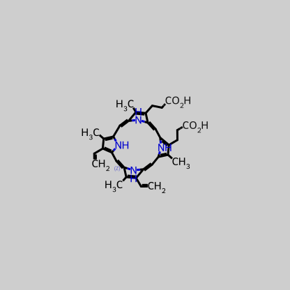 C=Cc1c2[nH]c(c1C)C=c1[nH]c(c(CCC(=O)O)c1C)=Cc1[nH]c(c(C)c1CCC(=O)O)C=c1[nH]/c(c(C)c1C=C)=C\2